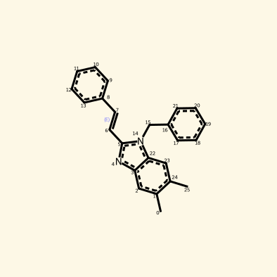 Cc1cc2nc(/C=C/c3ccccc3)n(Cc3ccccc3)c2cc1C